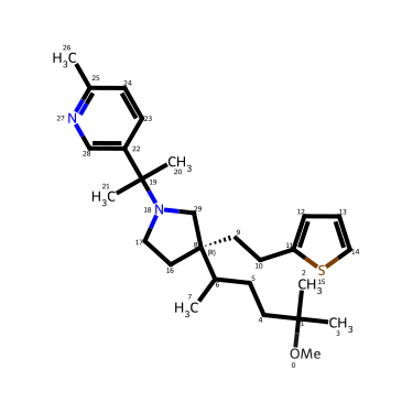 COC(C)(C)CCC(C)[C@@]1(CCc2cccs2)CCN(C(C)(C)c2ccc(C)nc2)C1